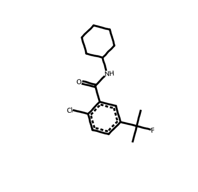 CC(C)(F)c1ccc(Cl)c(C(=O)NC2CCCCC2)c1